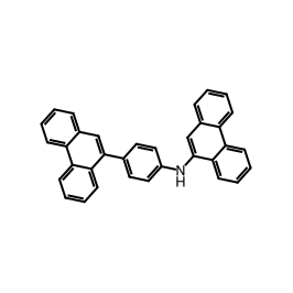 c1ccc2c(c1)cc(Nc1ccc(-c3cc4ccccc4c4ccccc34)cc1)c1ccccc12